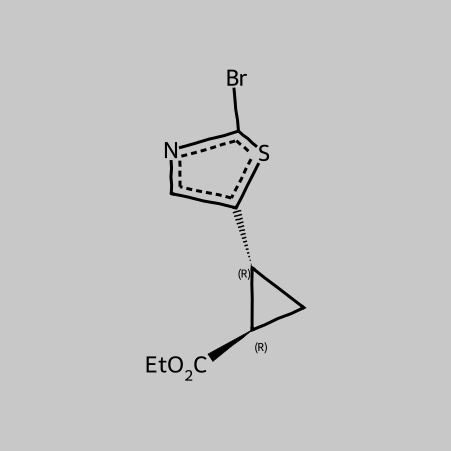 CCOC(=O)[C@@H]1C[C@H]1c1cnc(Br)s1